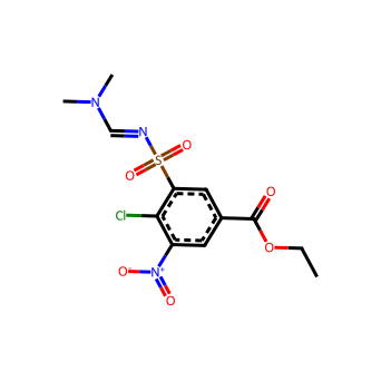 CCOC(=O)c1cc([N+](=O)[O-])c(Cl)c(S(=O)(=O)N=CN(C)C)c1